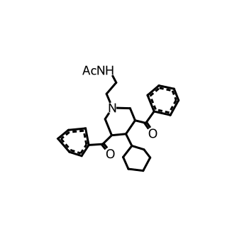 CC(=O)NCCN1CC(C(=O)c2ccccc2)C(C2CCCCC2)C(C(=O)c2ccccc2)C1